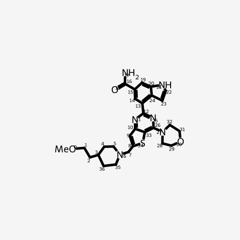 COCCC1CCN(Cc2cc3nc(-c4cc(C(N)=O)cc5[nH]ccc45)nc(N4CCOCC4)c3s2)CC1